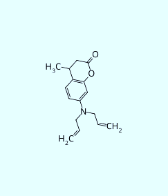 C=CCN(CC=C)c1ccc2c(c1)OC(=O)CC2C